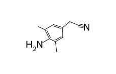 Cc1cc(CC#N)cc(C)c1N